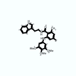 COc1cc(Nc2cc(F)cc(C)c2C(=O)NCCc2c[nH]c3ccccc23)cc(OC)c1OC